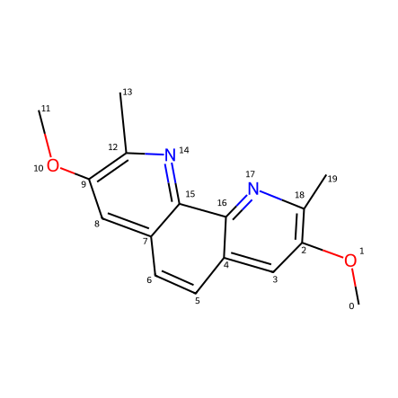 COc1cc2ccc3cc(OC)c(C)nc3c2nc1C